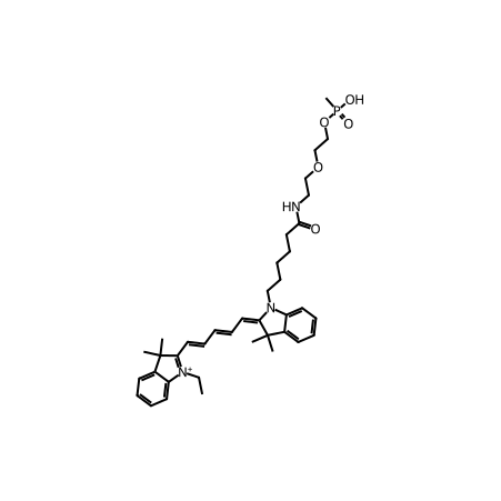 CC[N+]1=C(/C=C/C=C/C=C2/N(CCCCCC(=O)NCCOCCOP(C)(=O)O)c3ccccc3C2(C)C)C(C)(C)c2ccccc21